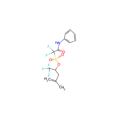 C=C(C)CC(OS(=O)(=O)C(F)(F)C(=O)Nc1ccccc1)C(F)(F)F